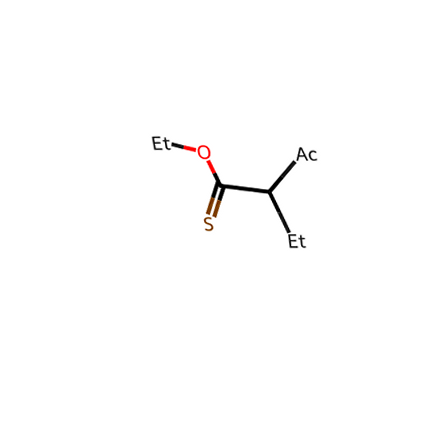 CCOC(=S)C(CC)C(C)=O